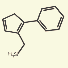 [SiH3]CC1=C(c2ccccc2)CC=C1